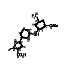 COc1cc(Nc2nccc(-c3cc(C(=O)O)n(C)n3)n2)cc(C(F)(F)F)c1